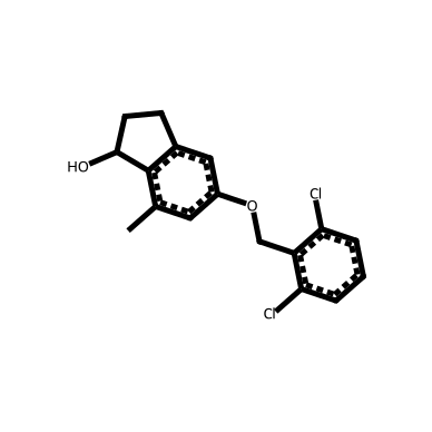 Cc1cc(OCc2c(Cl)cccc2Cl)cc2c1C(O)CC2